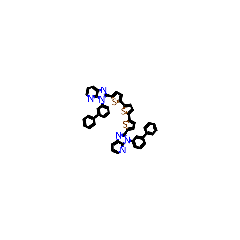 c1ccc(-c2cccc(-n3c(-c4ccc(-c5ccc(-c6ccc(-c7nc8cccnc8n7-c7cccc(-c8ccccc8)c7)s6)s5)s4)nc4cccnc43)c2)cc1